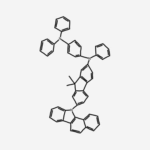 CC1(C)c2cc(N(c3ccccc3)c3ccc(N(c4ccccc4)c4ccccc4)cc3)ccc2-c2ccc(-n3c4ccccc4c4ccc5ccccc5c43)cc21